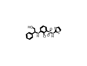 O=S(=O)(Nc1nccs1)c1cccc(NC(CO)c2ccccc2)c1Cl